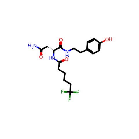 NC(=O)C[C@@H](NC(=O)CCCCC(F)(F)F)C(=O)NCCc1ccc(O)cc1